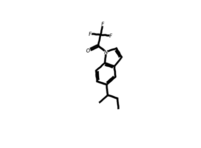 CCC(C)c1ccc2c(ccn2C(=O)C(F)(F)F)c1